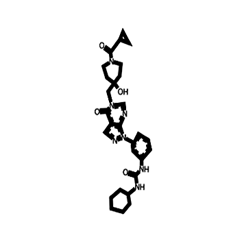 O=C(Nc1cccc(-n2ncc3c(=O)n(CC4(O)CCN(C(=O)C5CC5)CC4)cnc32)c1)NC1CCCCC1